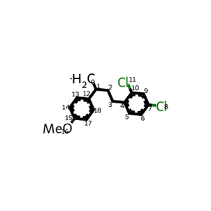 [CH2]C(CCc1ccc(Cl)cc1Cl)c1ccc(OC)cc1